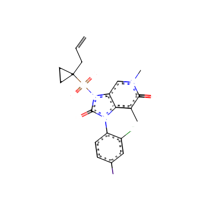 C=CCC1(S(=O)(=O)n2c(=O)n(-c3ccc(I)cc3F)c3c(C)c(=O)n(C)cc32)CC1